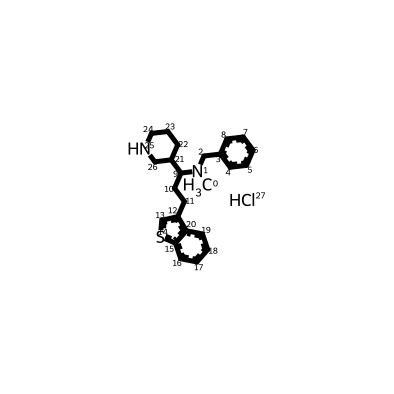 CN(Cc1ccccc1)C(CCc1csc2ccccc12)C1CCCNC1.Cl